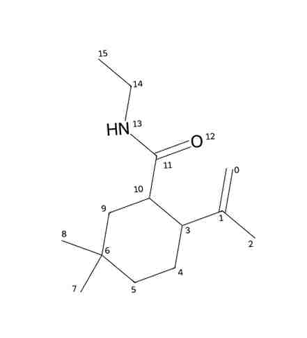 C=C(C)C1CCC(C)(C)CC1C(=O)NCC